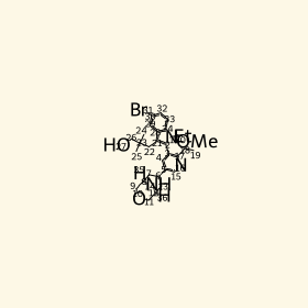 CCn1c(-c2cc([C@@H]3C[C@H]4COC[C@@H](C3)N4)cnc2[C@H](C)OC)c(CC(C)(C)CO)c2cc(Br)ccc21